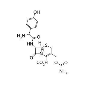 NC(=O)OCC1=C(C(=O)O)N2C(=O)C(NC(=O)C(N)c3ccc(O)cc3)[C@H]2SC1